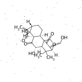 C=C1C(=O)[C@@]23C(=O)[C@@H](O)[C@@H]4C(C)(C)[C@@H]5OCC4(C(=O)/C5=C\O)[C@@H]2CC[C@@H]1[C@H]3O